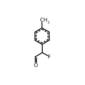 Cc1ccc(C(F)C=O)cc1